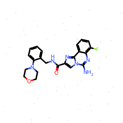 Nc1nc2c(F)cccc2c2nc(C(=O)NCc3ccccc3N3CCOCC3)cn12